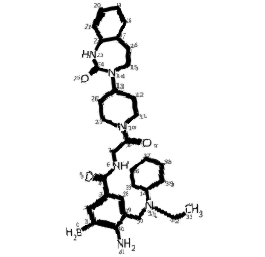 Bc1cc(C(=O)NCC(=O)N2CCC(N3CCC4C=CC=CC4NC3=O)CC2)cc(CN(CC)C2CCCCC2)c1N